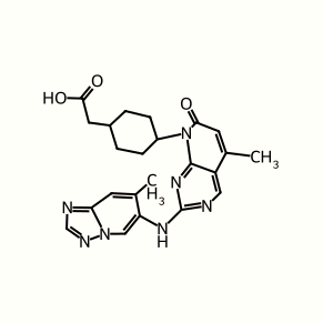 Cc1cc2ncnn2cc1Nc1ncc2c(C)cc(=O)n(C3CCC(CC(=O)O)CC3)c2n1